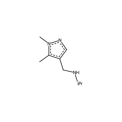 Cc1c(CNC(C)C)cnn1C